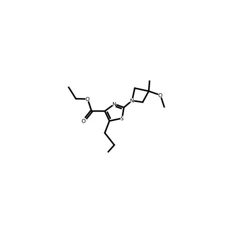 CCCc1sc(N2CC(C)(OC)C2)nc1C(=O)OCC